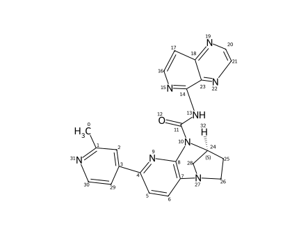 Cc1cc(-c2ccc3c(n2)N(C(=O)Nc2nccc4nccnc24)[C@H]2CCN3C2)ccn1